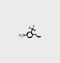 C=CCc1ccc(N)cc1C(F)(F)F